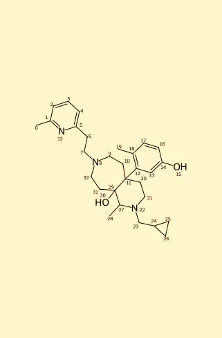 Cc1cccc(CCN2CCC3(c4cc(O)ccc4C)CCN(CC4CC4)C(C)C3(O)CC2)n1